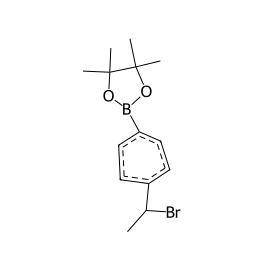 CC(Br)c1ccc(B2OC(C)(C)C(C)(C)O2)cc1